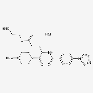 CCCCCCCCCCCCOC(=S)CCC(NC(=O)c1ccc(-n2ccnn2)cc1)C(=O)N1CCN(C)CC1.Cl